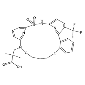 CC(C)(CN1CCCCCc2ccccc2-c2nc(ccc2C(F)(F)F)NS(=O)(=O)c2cccc1n2)C(=O)O